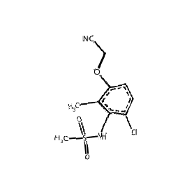 Cc1c(OCC#N)ccc(Cl)c1NS(C)(=O)=O